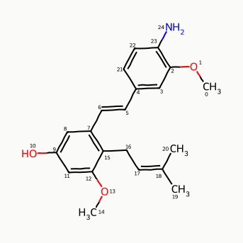 COc1cc(C=Cc2cc(O)cc(OC)c2CC=C(C)C)ccc1N